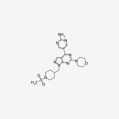 CS(=O)(=O)N1CCC(Cn2ncc3c(-c4cnc(N)nc4)nc(N4CCOCC4)nc32)CC1